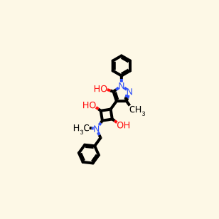 Cc1nn(-c2ccccc2)c(O)c1C1C(O)C(N(C)Cc2ccccc2)C1O